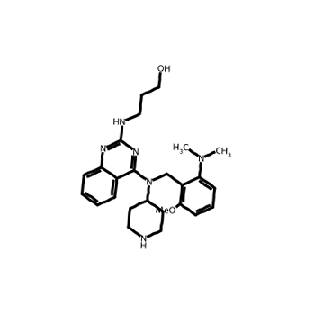 COc1cccc(N(C)C)c1CN(c1nc(NCCCO)nc2ccccc12)C1CCNCC1